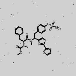 COC(=O)N(C)C(Cc1ccccc1)C(=O)N(C)C(Cc1ccc(OS(N)(=O)=O)cc1)c1csc(-c2cccs2)n1